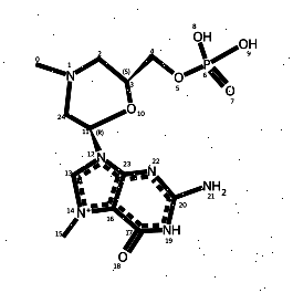 CN1C[C@@H](COP(=O)(O)O)O[C@@H](n2c[n+](C)c3c(=O)[nH]c(N)nc32)C1